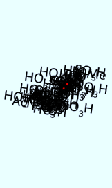 CO[C@H]1O[C@H](COS(=O)(=O)O)[C@@H](O[C@@H]2O[C@@H](C(=O)O)[C@@H](O[C@H]3O[C@H](COS(=O)(=O)O)[C@@H](O[C@@H]4O[C@@H](C(=O)O)[C@@H](O[C@H]5O[C@H](COS(=O)(=O)O)[C@@H](O[C@@H]6O[C@H](C(=O)O)[C@@H](O[C@H]7O[C@H](COS(=O)(=O)O)[C@@H](O[C@@H]8OC(C(=O)O)=C[C@H](O)[C@H]8O)[C@H](O)[C@H]7NC(C)=O)[C@H](O)[C@H]6O)[C@H](OS(=O)(=O)O)[C@H]5NS(=O)(=O)O)[C@H](O)[C@H]4OS(=O)(=O)O)[C@H](O)[C@H]3NS(=O)(=O)O)[C@H](O)[C@H]2OS(=O)(=O)O)[C@H](O)[C@H]1NS(=O)(=O)O